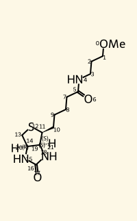 COCCCNC(=O)CCCC[C@@H]1SC[C@@H]2NC(=O)N[C@@H]21